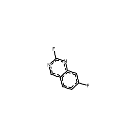 Fc1ccc2cnc(F)nc2c1